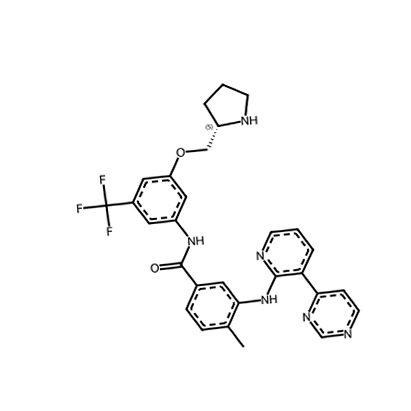 Cc1ccc(C(=O)Nc2cc(OC[C@@H]3CCCN3)cc(C(F)(F)F)c2)cc1Nc1ncccc1-c1ccncn1